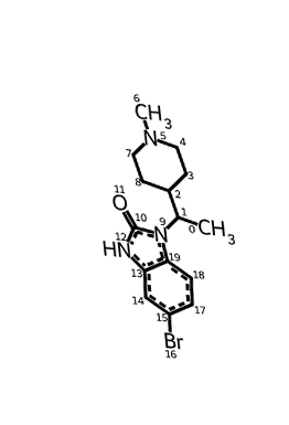 CC(C1CCN(C)CC1)n1c(=O)[nH]c2cc(Br)ccc21